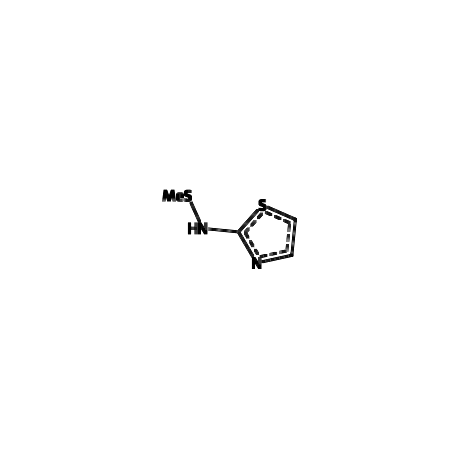 CSNc1nccs1